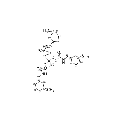 CCC(COC(=O)NCC1CCCC(C)C1)(COC(=O)NCC1CCCC(C)C1)COC(=O)NCC1CCCC(C)C1